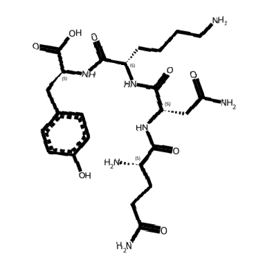 NCCCC[C@H](NC(=O)[C@H](CC(N)=O)NC(=O)[C@@H](N)CCC(N)=O)C(=O)N[C@@H](Cc1ccc(O)cc1)C(=O)O